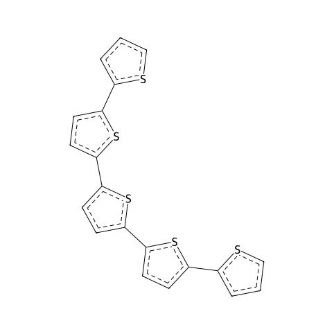 c1csc(-c2ccc(-c3ccc(-c4ccc(-c5cccs5)s4)s3)s2)c1